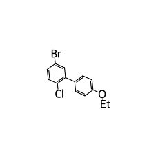 CCOc1ccc(-c2cc(Br)ccc2Cl)cc1